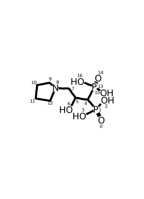 O=P(O)(O)C(C(O)CN1CCCC1)P(=O)(O)O